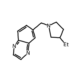 CCC1CCN(Cc2ccc3nccnc3c2)C1